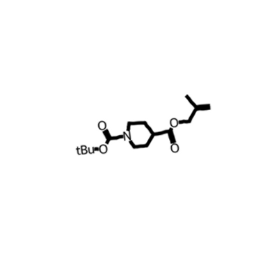 C=C(C)COC(=O)C1CCN(C(=O)OC(C)(C)C)CC1